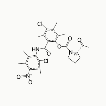 CC(=O)[C@@H]1CCCN1C(=O)Oc1c(C)c(C)c(Cl)c(C)c1C(=O)Nc1c(C)c(C)c([N+](=O)[O-])c(C)c1Cl